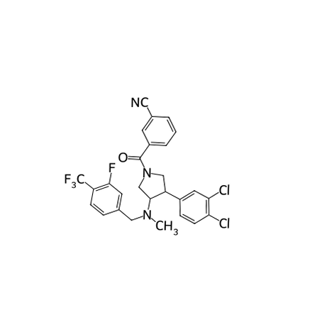 CN(Cc1ccc(C(F)(F)F)c(F)c1)C1CN(C(=O)c2cccc(C#N)c2)CC1c1ccc(Cl)c(Cl)c1